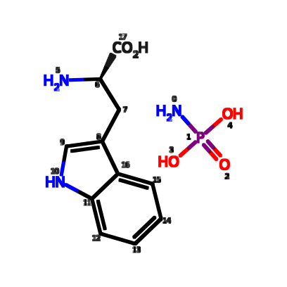 NP(=O)(O)O.N[C@H](Cc1c[nH]c2ccccc12)C(=O)O